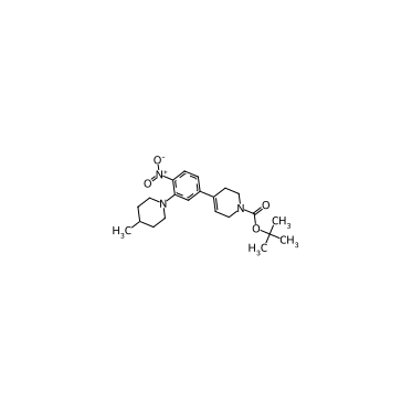 CC1CCN(c2cc(C3=CCN(C(=O)OC(C)(C)C)CC3)ccc2[N+](=O)[O-])CC1